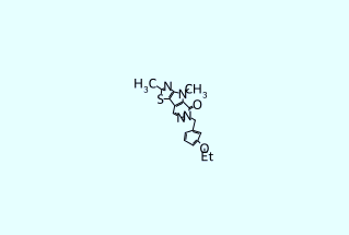 CCOc1cccc(Cn2ncc3c4sc(C)nc4n(C)c3c2=O)c1